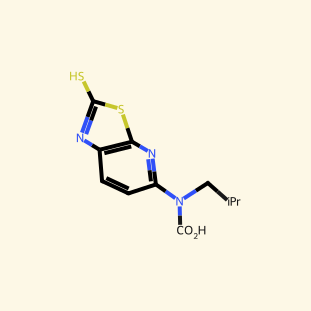 CC(C)CN(C(=O)O)c1ccc2nc(S)sc2n1